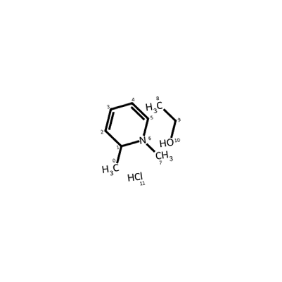 CC1C=CC=CN1C.CCO.Cl